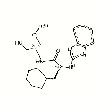 CCCCOC[C@@H](CO)NC(=O)[C@H](CC1CCCCC1)Nc1nc2ccccc2o1